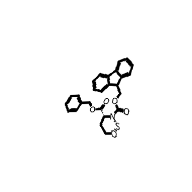 O=C(OCc1ccccc1)[C@H]1CCOSN1C(=O)OCC1c2ccccc2-c2ccccc21